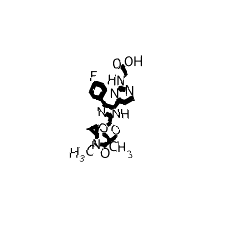 CN(C(=O)C1(C)COC(c2nc(-c3ccc(F)cc3)c(-c3ccnc(NCC(=O)O)n3)[nH]2)OC1)C1CC1